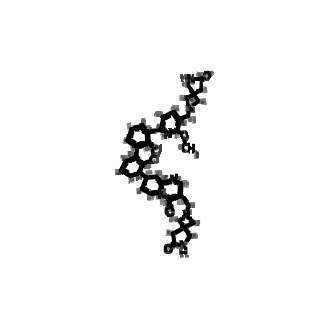 COc1nc(-c2cccc(-c3cccc(-c4ccn5c(=O)c(CN6CC7(CNC(=O)C7)C6)cnc5c4)c3Cl)c2Cl)ccc1CN1CC2(CNC(=O)C2)C1